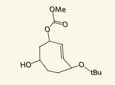 COC(=O)OC1/C=C/C(OC(C)(C)C)CCC(O)C1